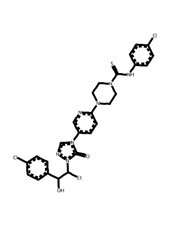 CCC(C(O)c1ccc(Cl)cc1)n1ncn(-c2ccc(N3CCN(C(=S)Nc4ccc(Cl)cc4)CC3)nc2)c1=O